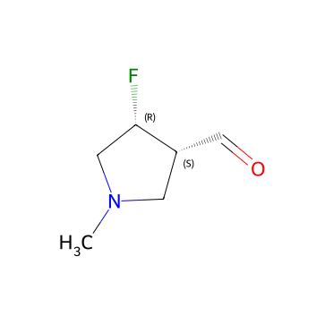 CN1C[C@@H](C=O)[C@@H](F)C1